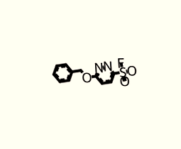 O=S(=O)(F)c1ccc(OCc2ccccc2)nn1